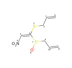 C=CCSC(=C[N+](=O)[O-])[S+]([O-])CC=C